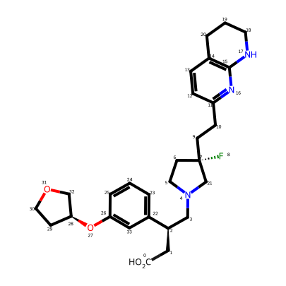 O=C(O)C[C@H](CN1CC[C@@](F)(CCc2ccc3c(n2)NCCC3)C1)c1cccc(O[C@H]2CCOC2)c1